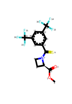 COC(=O)[C@H]1CCN1C(=S)c1cc(C(F)(F)F)cc(C(F)(F)F)c1